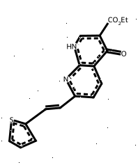 CCOC(=O)c1c[nH]c2nc(C=Cc3cccs3)ccc2c1=O